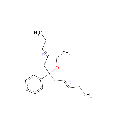 CC/C=C/C[Si](C/C=C/CC)(OCC)c1ccccc1